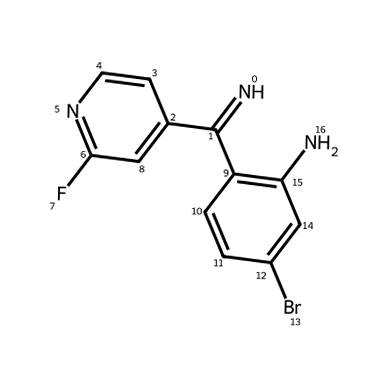 N=C(c1ccnc(F)c1)c1ccc(Br)cc1N